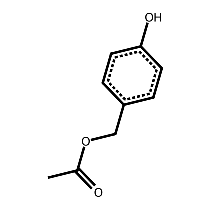 CC(=O)OCc1ccc(O)cc1